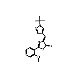 COc1ccccc1C1=N/C(=C\c2cnn(C(C)(C)C)c2)C(=O)O1